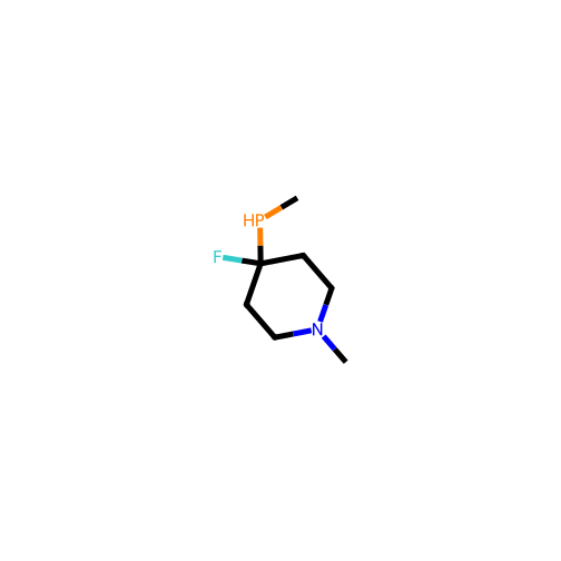 CPC1(F)CCN(C)CC1